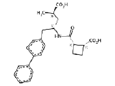 C[C@H](C[C@@H](Cc1ccc(-c2ccccc2)cc1)NC(=O)[C@H]1CC[C@H]1C(=O)O)C(=O)O